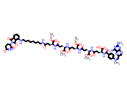 COC(=O)[C@H](CCC(=O)NCCCCCCCCNc1cccc2c1C(=O)N(C1CCC(=O)NC1=O)C2=O)NC(=O)CC[C@H](NC(=O)CC[C@H](NC(=O)CC[C@H](NC(=O)CC[C@H](NC(=O)c1ccc(N(C)Cc2cnc3nc(N)nc(N)c3n2)cc1)C(=O)O)C(=O)OC)C(=O)OC)C(=O)OC